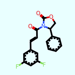 O=C(C=Cc1cc(F)cc(F)c1)N1C(=O)OCC1c1ccccc1